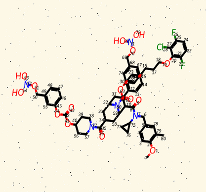 COc1ccc(CN(C(=O)C2C(c3ccc(CCCOc4c(F)ccc(F)c4Cl)cc3)CC3CC(C(=O)N4CCC(OC(=O)Oc5cccc(CON(O)O)c5)CC4)CC2N3C(=O)Oc2cccc(CON(O)O)c2)C2CC2)cc1C